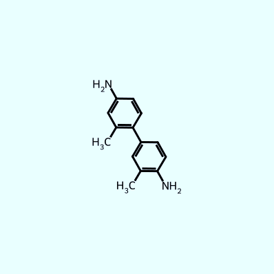 Cc1cc(-c2ccc(N)cc2C)ccc1N